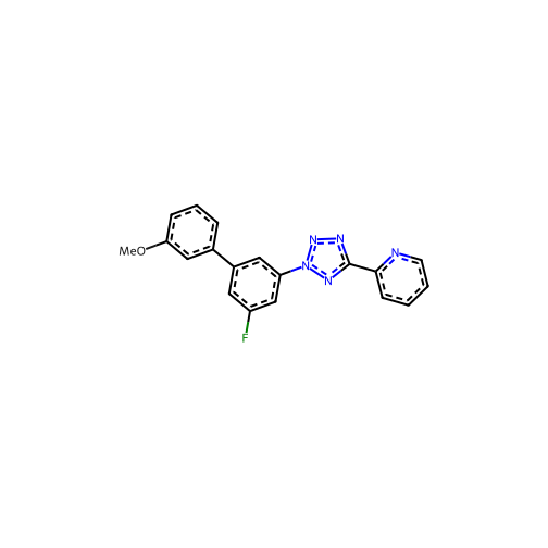 COc1cccc(-c2cc(F)cc(-n3nnc(-c4ccccn4)n3)c2)c1